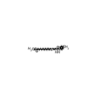 CCOC(=O)CCCCCCCCCCCSCCCNC(=O)Nc1ccc(C)cc1